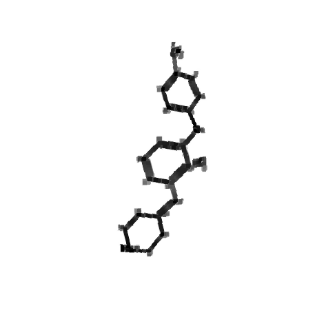 Cl.FC(F)(F)c1ccc(Oc2cccc(C=C3CCNCC3)c2)cc1